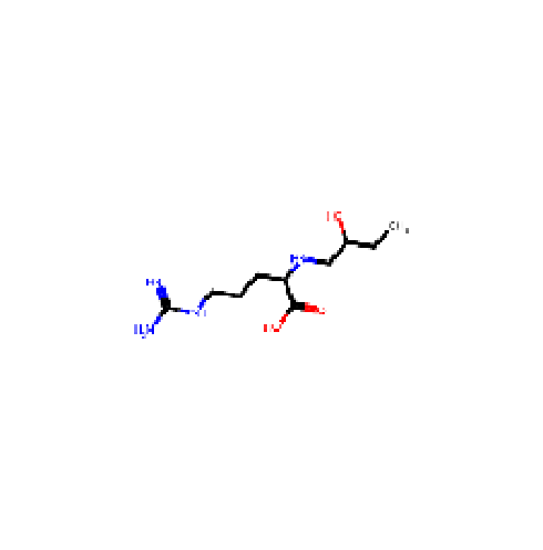 CCC(O)CNC(CCCNC(=N)N)C(=O)O